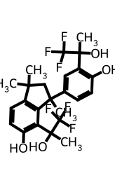 CC1(C)CC(C)(c2ccc(O)c(C(C)(O)C(F)(F)F)c2)c2c1ccc(O)c2C(C)(O)C(F)(F)F